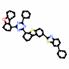 c1ccc(-c2ccc3nc(-c4ccc5sc6c(-c7nc(-c8ccccc8)nc(-c8cccc9oc%10ccccc%10c89)n7)cccc6c5c4)sc3c2)cc1